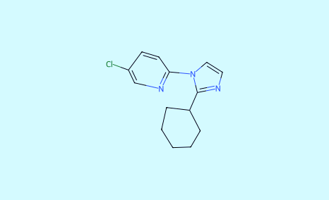 Clc1ccc(-n2ccnc2C2CCCCC2)nc1